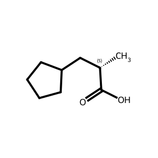 C[C@@H](CC1CCCC1)C(=O)O